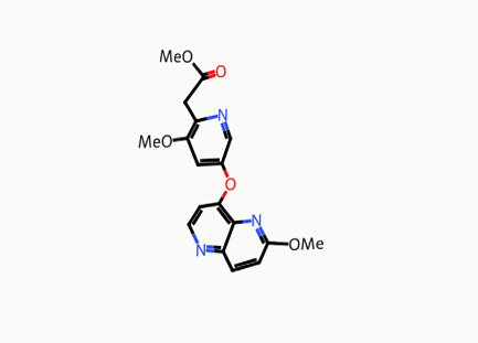 COC(=O)Cc1ncc(Oc2ccnc3ccc(OC)nc23)cc1OC